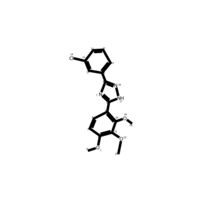 COc1ccc(-c2nc(-c3cccc(Cl)c3)n[nH]2)c(OC)c1OC